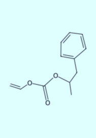 C=COC(=O)OC(C)Cc1ccccc1